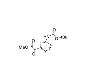 COC(=O)C(=O)c1cc(NC(=O)OC(C)(C)C)ccn1